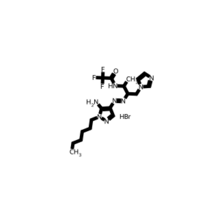 Br.CCCCCCn1ncc(/N=N/C(Cn2ccnc2)C(C)NC(=O)C(F)(F)F)c1N